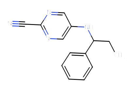 CCC(Nc1cnc(C#N)nc1)c1ccccc1